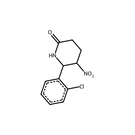 O=C1CCC([N+](=O)[O-])C(c2ccccc2Cl)N1